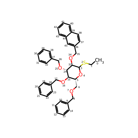 CCSC1O[C@H](COCc2ccccc2)[C@@H](OCc2ccccc2)[C@H](OCc2ccccc2)[C@H]1OCc1ccc2ccccc2c1